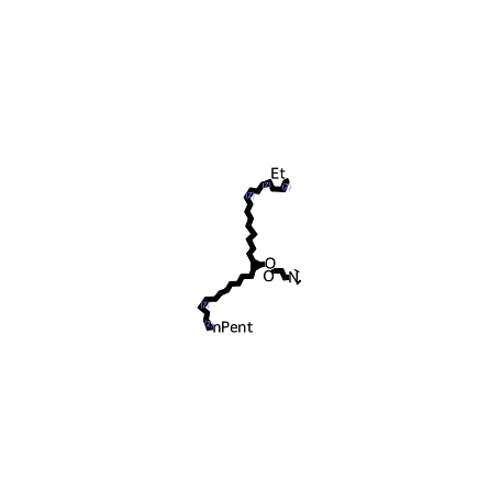 CC/C=C\C/C=C\C/C=C\CCCCCCCCC1C(CCCCCCC/C=C\C/C=C\CCCCC)C1OC(=O)CCN(C)C